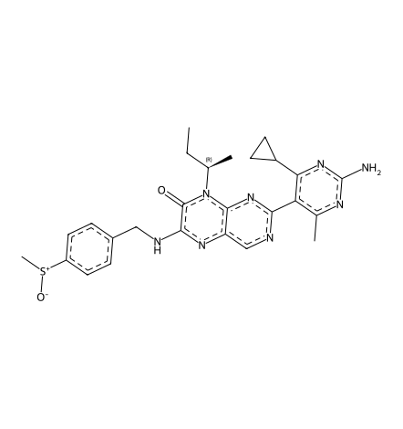 CC[C@@H](C)n1c(=O)c(NCc2ccc([S+](C)[O-])cc2)nc2cnc(-c3c(C)nc(N)nc3C3CC3)nc21